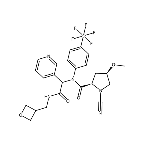 CO[C@@H]1C[C@H](C(=O)N(c2ccc(S(F)(F)(F)(F)F)cc2)C(C(=O)NCC2COC2)c2cccnc2)N(C#N)C1